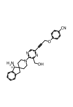 N#Cc1ccc(OCC#Cc2cnc(N3CCC4(CC3)Cc3ccccc3[C@H]4N)c(CO)n2)cc1